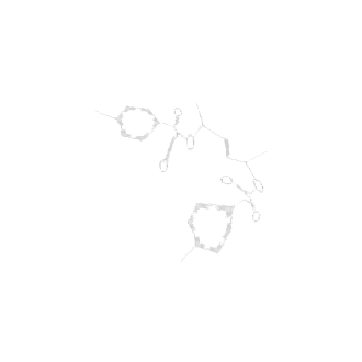 Cc1ccc(S(=O)(=O)OC(C)C=CC(C)OS(=O)(=O)c2ccc(C)cc2)cc1